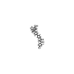 Cc1cc(Cl)ccc1NC(=O)Nc1ccc(-c2ccc(S(=O)(=O)N3CCC[C@H]3C(=O)O)cc2)cc1